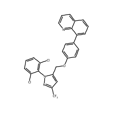 FC(F)(F)c1cc(COc2ccc(-c3cccc4cccnc34)cc2)n(-c2c(Cl)cccc2Cl)n1